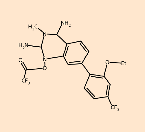 CCOc1cc(C(F)(F)F)ccc1-c1ccc2c(c1)N(OC(=O)C(F)(F)F)C(N)N(C)C2N